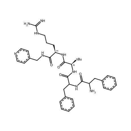 CCCC[C@@H](NC(=O)C(Cc1ccccc1)NC(=O)C(N)Cc1ccccc1)C(=O)N[C@H](CCCNC(=N)N)C(=O)NCc1ccncc1